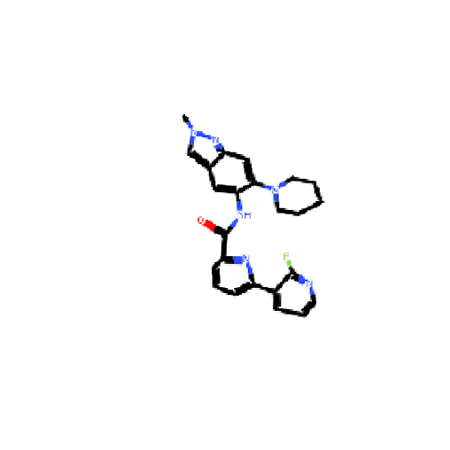 Cn1cc2cc(NC(=O)c3cccc(-c4cccnc4F)n3)c(N3CCCCC3)cc2n1